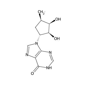 [CH2][C@@H]1C[C@@H](n2cnc3c(=O)[nH]cnc32)[C@H](O)[C@@H]1O